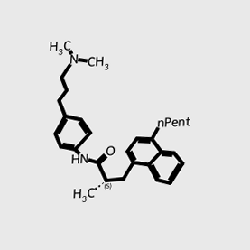 CCCCCc1ccc(C[C@H](C)C(=O)Nc2ccc(CCCN(C)C)cc2)c2ccccc12